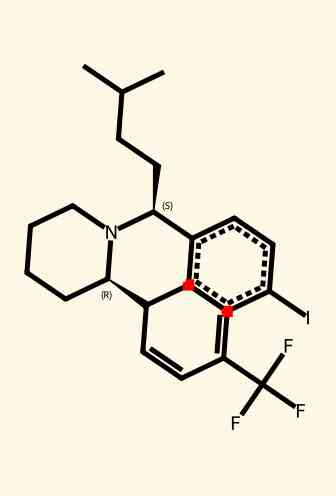 CC(C)CC[C@@H](c1ccc(I)cc1)N1CCCC[C@@H]1C1C=CC(C(F)(F)F)=CC1